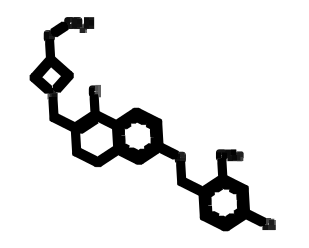 CCc1ccc(COc2ccc3c(c2)CCC(CN2CC(OC(=O)O)C2)=C3Cl)c(OC)c1